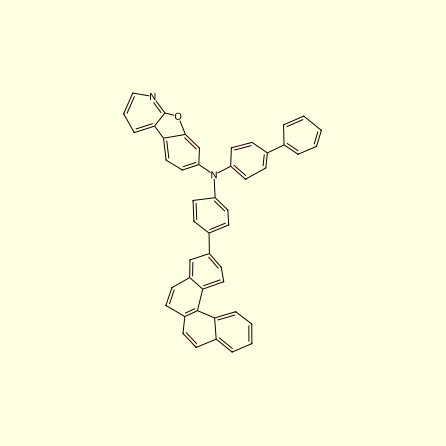 c1ccc(-c2ccc(N(c3ccc(-c4ccc5c(ccc6ccc7ccccc7c65)c4)cc3)c3ccc4c(c3)oc3ncccc34)cc2)cc1